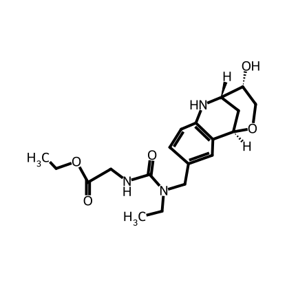 CCOC(=O)CNC(=O)N(CC)Cc1ccc2c(c1)[C@H]1C[C@H](N2)[C@H](O)CO1